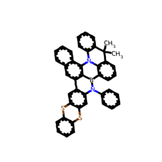 CC1(C)c2ccccc2N2c3c(cccc31)B1c3c(cc4ccccc4c32)-c2cc3c(cc2N1c1ccccc1)Sc1ccccc1S3